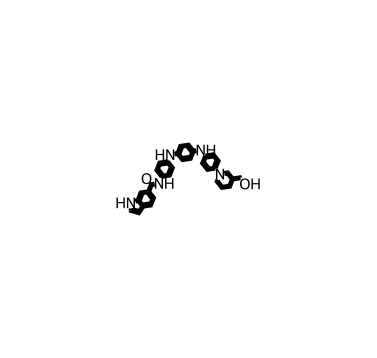 O=C(Nc1ccc(Nc2ccc(Nc3ccc(N4CCCC(CO)C4)cc3)cc2)cc1)c1ccc2cc[nH]c2c1